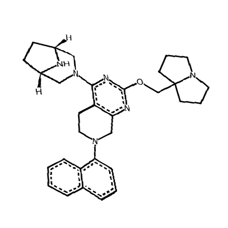 c1ccc2c(N3CCc4c(nc(OCC56CCCN5CCC6)nc4N4C[C@H]5CC[C@@H](C4)N5)C3)cccc2c1